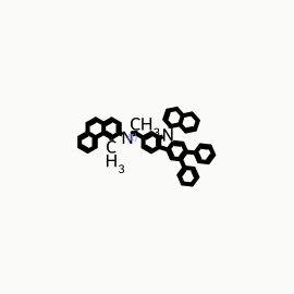 C/C(=N\c1ccc2ccc3ccccc3c2c1C)c1ccc2c3cc(C4=CCCC=C4)c(-c4ccccc4)cc3n(C3C=CCC4CCC=CC43)c2c1